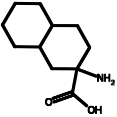 NC1(C(=O)O)CCC2CCCCC2C1